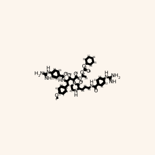 COc1ccc(CC(NC(=O)c2ccc(NC(=N)N)cc2)C(=O)C(C(=O)OC(C)OC(=O)OC2CCCCC2)N2CCNC(CCCNC(=O)c3ccc(NC(=N)N)cc3)C2=O)cc1